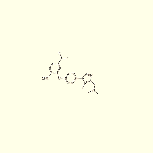 CN(C)Cc1ncc(-c2ccc(Oc3cc(C(F)F)ccc3C=O)cc2)n1C